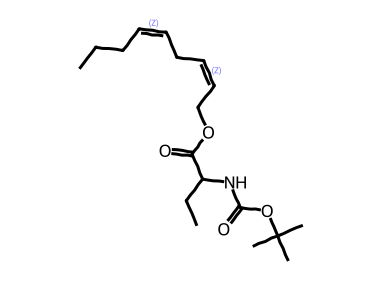 CCC/C=C\C/C=C\COC(=O)C(CC)NC(=O)OC(C)(C)C